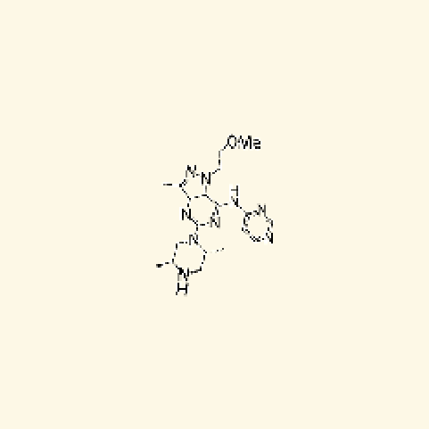 COCCN1N=C(C)C2N=C(N3C[C@H](C)NC[C@H]3C)N=C(Nc3ccncn3)C21